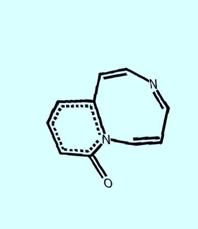 O=c1cccc2n1C=CC=NC=C2